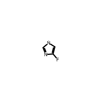 FC1=C[N]C=N1